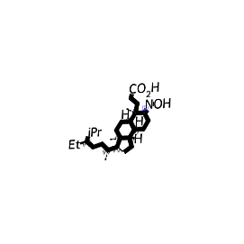 CC[C@H](CC[C@@H](C)[C@H]1CC[C@H]2[C@@H]3CC/C(=N\O)[C@](C)(CCC(=O)O)[C@H]3CC[C@]12C)C(C)C